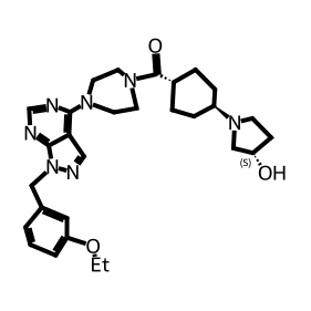 CCOc1cccc(Cn2ncc3c(N4CCN(C(=O)[C@H]5CC[C@H](N6CC[C@H](O)C6)CC5)CC4)ncnc32)c1